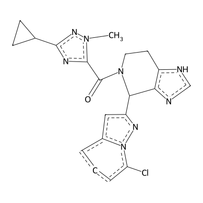 Cn1nc(C2CC2)nc1C(=O)N1CCc2[nH]cnc2C1c1cc2cccc(Cl)n2n1